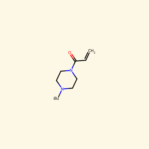 C=CC(=O)N1CCN(C(C)CC)CC1